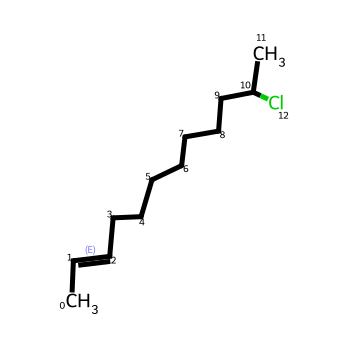 C/C=C/CCCCCCCC(C)Cl